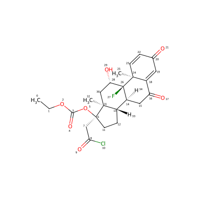 CCOC(=O)O[C@]1(CC(=O)Cl)CC[C@H]2[C@@H]3CC(=O)C4=CC(=O)C=C[C@]4(C)[C@@]3(F)[C@@H](O)C[C@@]21C